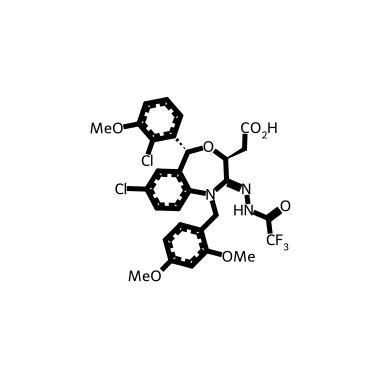 COc1ccc(CN2/C(=N\NC(=O)C(F)(F)F)[C@H](CC(=O)O)O[C@@H](c3cccc(OC)c3Cl)c3cc(Cl)ccc32)c(OC)c1